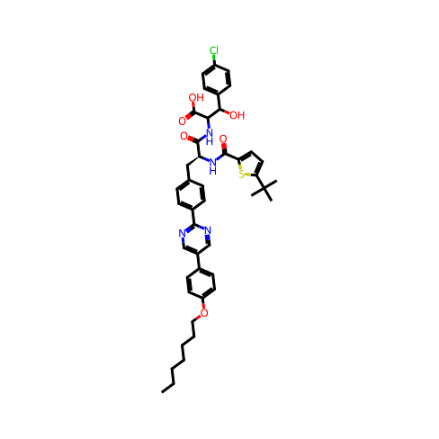 CCCCCCCOc1ccc(-c2cnc(-c3ccc(C[C@H](NC(=O)c4ccc(C(C)(C)C)s4)C(=O)NC(C(=O)O)C(O)c4ccc(Cl)cc4)cc3)nc2)cc1